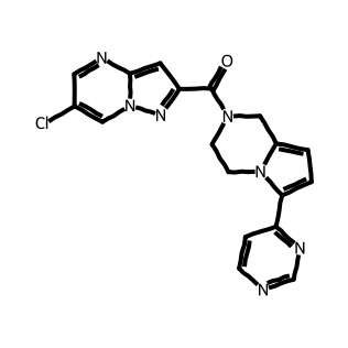 O=C(c1cc2ncc(Cl)cn2n1)N1CCn2c(ccc2-c2ccncn2)C1